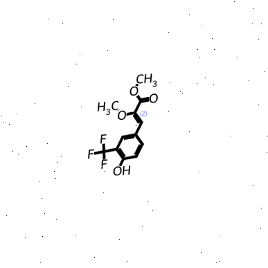 COC(=O)/C(=C/c1ccc(O)c(C(F)(F)F)c1)OC